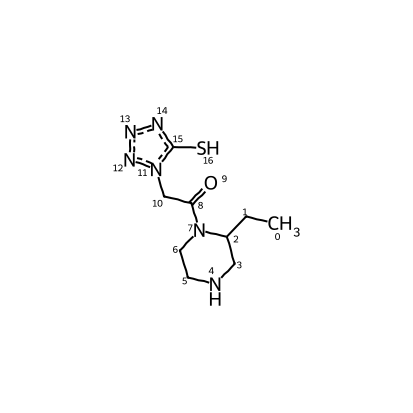 CCC1CNCCN1C(=O)Cn1nnnc1S